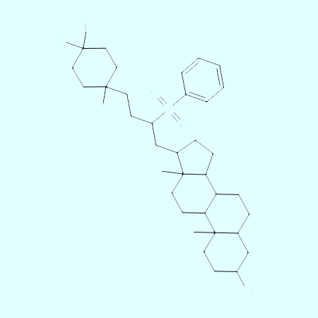 CC12CCC(O)CC1CCC1C2CCC2(C)C(CC(CCC3(O)CCC(F)(F)CC3)S(=O)(=O)c3ccccc3)CCC12